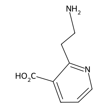 NCCc1ncccc1C(=O)O